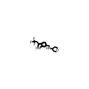 FC(F)(F)Cc1c[nH]c2cc(CNC3CCOCC3)ccc12